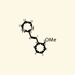 COc1ccccc1/C=C/c1ncccn1